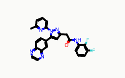 Cc1cccc(-n2nc(CC(=O)Nc3cccc(F)c3F)cc2-c2ccc3nccnc3c2)n1